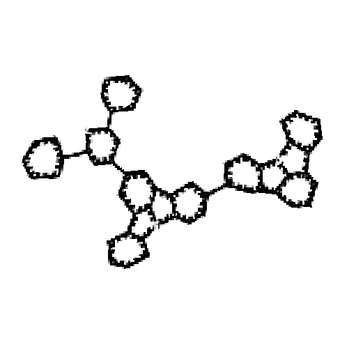 c1ccc(-c2cc(-c3cc4c5ccccc5n5c6ccc(-c7ccc8c(c7)c7cccc9c%10ccccc%10n8c97)cc6c(c3)c45)cc(-c3ccccc3)n2)cc1